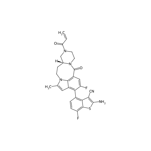 C=CC(=O)N1CCN2C(=O)c3cc(F)c(-c4ccc(F)c5sc(N)c(C#N)c45)c4cc(C)n(c34)CC[C@@H]2C1